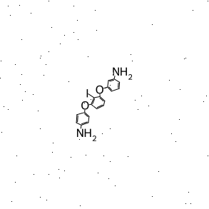 Nc1ccc(Oc2cccc(Oc3cccc(N)c3)c2I)cc1